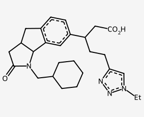 CCn1cc(CCC(CC(=O)O)c2ccc3c(c2)C2C(CC(=O)N2CC2CCCCC2)C3)nn1